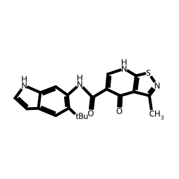 Cc1nsc2[nH]cc(C(=O)Nc3cc4[nH]ccc4cc3C(C)(C)C)c(=O)c12